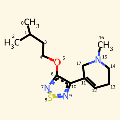 CC(C)CCOc1nsnc1C1=CCCN(C)C1